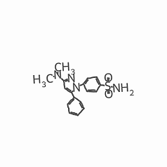 CN(C)c1cc(-c2ccccc2)n(-c2ccc(S(N)(=O)=O)cc2)n1